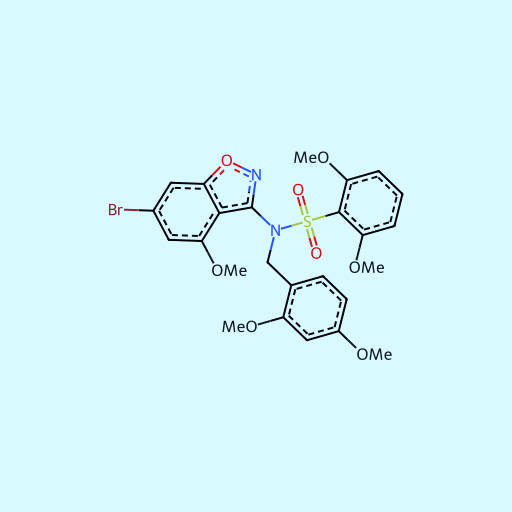 COc1ccc(CN(c2noc3cc(Br)cc(OC)c23)S(=O)(=O)c2c(OC)cccc2OC)c(OC)c1